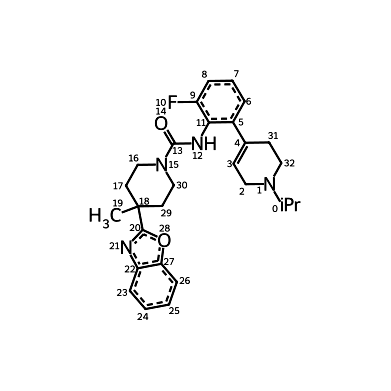 CC(C)N1CC=C(c2cccc(F)c2NC(=O)N2CCC(C)(c3nc4ccccc4o3)CC2)CC1